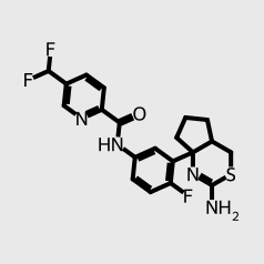 NC1=NC2(c3cc(NC(=O)c4ccc(C(F)F)cn4)ccc3F)CCCC2CS1